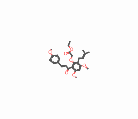 CCOC(=O)COc1c(CC=C(C)C)c(OC)cc(OC)c1C(=O)C=Cc1ccc(OC)cc1